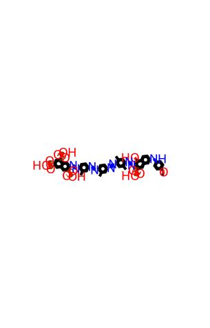 COc1ccc(Nc2ccc3c(O)c(N=Nc4cc(C)c(N=Nc5ccc(N=Nc6ccc(N=Nc7cc8c(S(=O)(=O)O)cc(S(=O)(=O)O)cc8cc7S(=O)(=O)O)c(C)c6)c(C)c5)cc4C)c(S(=O)(=O)O)cc3c2)cc1